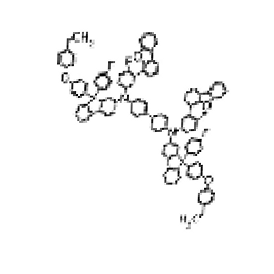 C=Cc1ccc(Oc2ccc(C3(c4ccc(F)cc4)c4ccccc4-c4ccc(N(c5ccc(-c6ccc(N(c7ccc(F)c(-c8cccc9c8oc8ccccc89)c7)c7ccc8c(c7)C(c7ccc(F)cc7)(c7ccc(Oc9ccc(C=C)cc9)cc7)c7ccccc7-8)cc6)cc5)c5ccc(F)c(-c6cccc7c6oc6ccccc67)c5)cc43)cc2)cc1